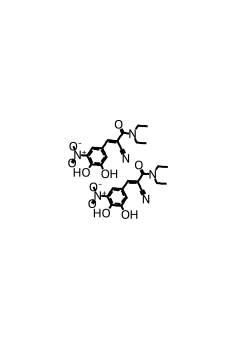 CCN(CC)C(=O)/C(C#N)=C/c1cc(O)c(O)c([N+](=O)[O-])c1.CCN(CC)C(=O)/C(C#N)=C/c1cc(O)c(O)c([N+](=O)[O-])c1